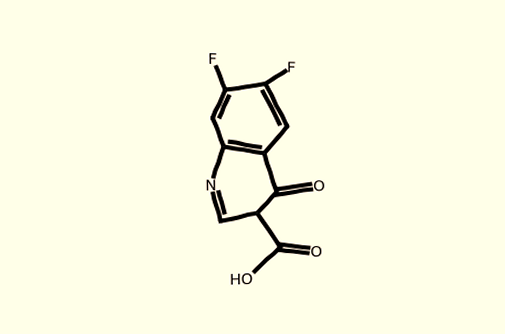 O=C(O)C1C=Nc2cc(F)c(F)cc2C1=O